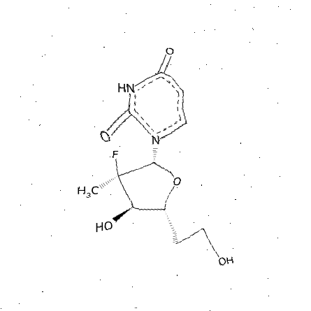 C[C@@]1(F)[C@H](O)[C@@H](CCO)O[C@H]1n1ccc(=O)[nH]c1=O